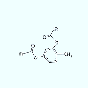 Cc1ccc(OC(=O)C(C)C)cc1OC(=O)C(C)C